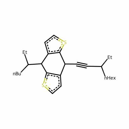 CCCCCCC(C#CC1c2ccsc2C(C(CC)CCCC)c2ccsc21)CC